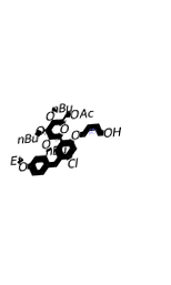 CCCCO[C@@H]1[C@@H](OCCCC)[C@H](c2cc(Cc3ccc(OCC)cc3)c(Cl)cc2OC/C=C\CO)O[C@H](COC(C)=O)[C@H]1OCCCC